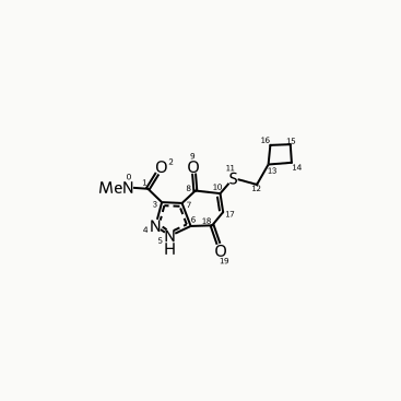 CNC(=O)c1n[nH]c2c1C(=O)C(SCC1CCC1)=CC2=O